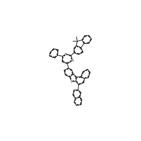 CC1(C)c2ccccc2-c2ccc(-c3nc(-c4ccccc4)cc(-c4ccc5sc6c(-c7ccc8ccccc8c7)cc7ccccc7c6c5c4)n3)cc21